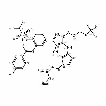 CC(Oc1cc(-c2nn(COCC[Si](C)(C)C)c(Nc3ccn(CCC(=O)OC(C)(C)C)n3)c2C#N)ccc1NS(=O)(=O)C(F)F)c1ccc(F)cc1